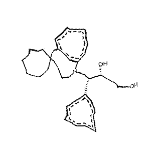 OC[C@@H](O)[C@H](c1ccccc1)N1CC2([CH]CCCC2)c2ccccc21